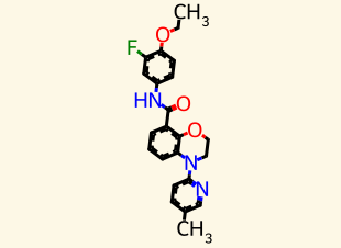 CCOc1ccc(NC(=O)c2cccc3c2OCCN3c2ccc(C)cn2)cc1F